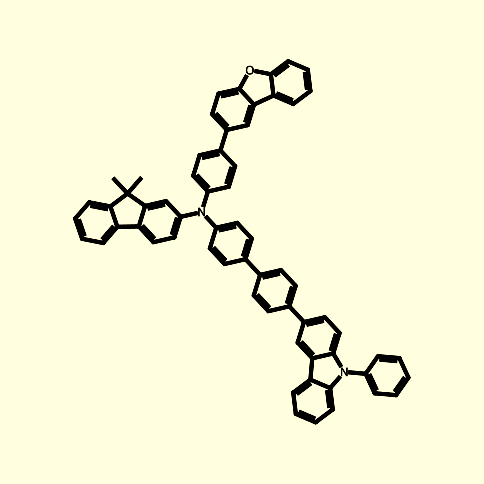 CC1(C)c2ccccc2-c2ccc(N(c3ccc(-c4ccc(-c5ccc6c(c5)c5ccccc5n6-c5ccccc5)cc4)cc3)c3ccc(-c4ccc5oc6ccccc6c5c4)cc3)cc21